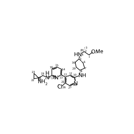 COC[C@@H](C)N[C@H]1CC[C@H](Nc2cc(-c3cccc(NCC4(N)CC4)n3)c(Cl)cn2)CC1